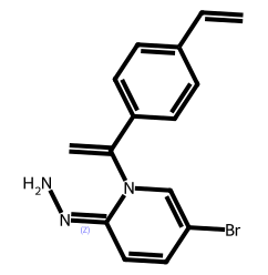 C=Cc1ccc(C(=C)n2cc(Br)cc/c2=N/N)cc1